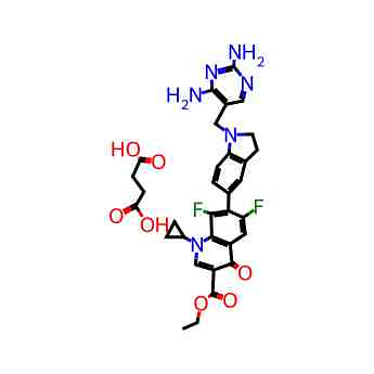 CCOC(=O)c1cn(C2CC2)c2c(F)c(-c3ccc4c(c3)CCN4Cc3cnc(N)nc3N)c(F)cc2c1=O.O=C(O)CCC(=O)O